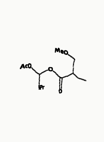 COCC(C)C(=O)OC(OC(C)=O)C(C)C